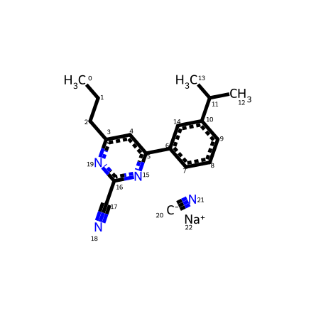 CCCc1cc(-c2cccc(C(C)C)c2)nc(C#N)n1.[C-]#N.[Na+]